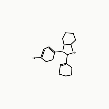 BrC1=CC=C(N2C(C3=CCCCC3)NC3CCCCC32)CC1